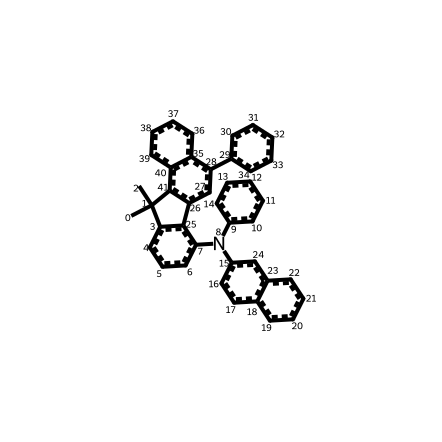 CC1(C)c2cccc(N(c3ccccc3)c3ccc4ccccc4c3)c2-c2cc(-c3ccccc3)c3ccccc3c21